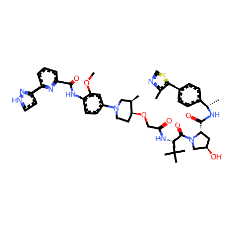 COc1cc(N2CC[C@H](OCC(=O)N[C@H](C(=O)N3C[C@H](O)C[C@H]3C(=O)N[C@@H](C)c3ccc(-c4scnc4C)cc3)C(C)(C)C)[C@H](C)C2)ccc1NC(=O)c1cccc(-c2cc[nH]n2)n1